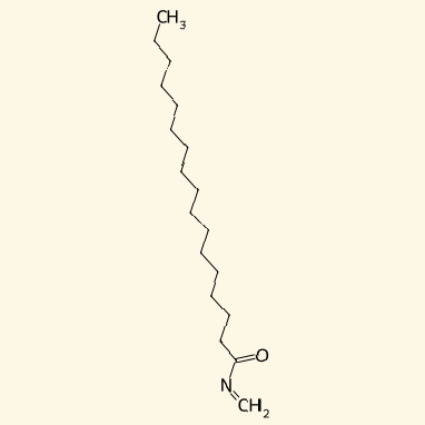 C=NC(=O)CCCCCCCCCCCCCCCC